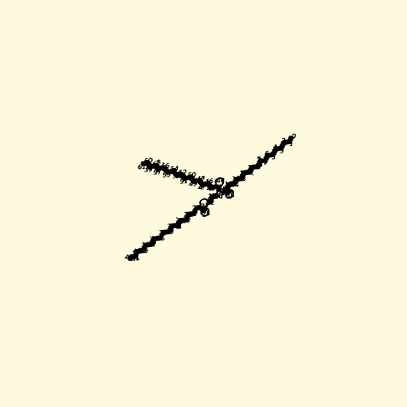 CCCCCCCCC=CCCCCCCCC(=O)N(CCCOC(=O)CCCCCCCCCCCCCCCCC)C(=O)CCCCCCCC=CCCCCCCCC